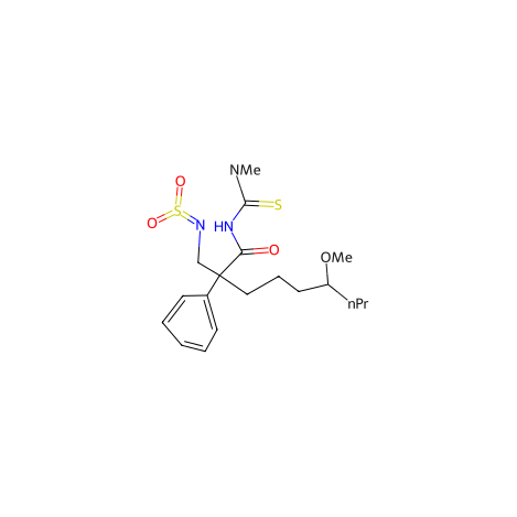 CCCC(CCCC(CN=S(=O)=O)(C(=O)NC(=S)NC)c1ccccc1)OC